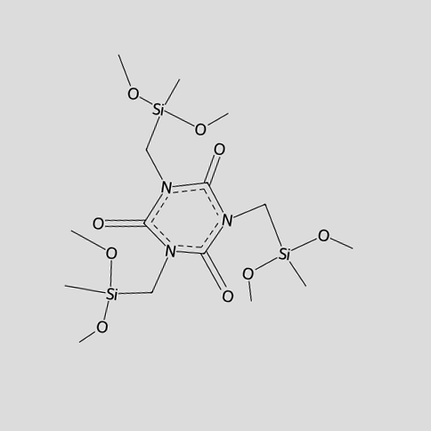 CO[Si](C)(Cn1c(=O)n(C[Si](C)(OC)OC)c(=O)n(C[Si](C)(OC)OC)c1=O)OC